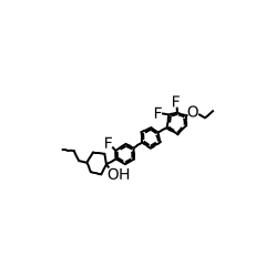 CCCC1CCC(O)(c2ccc(-c3ccc(-c4ccc(OCC)c(F)c4F)cc3)cc2F)CC1